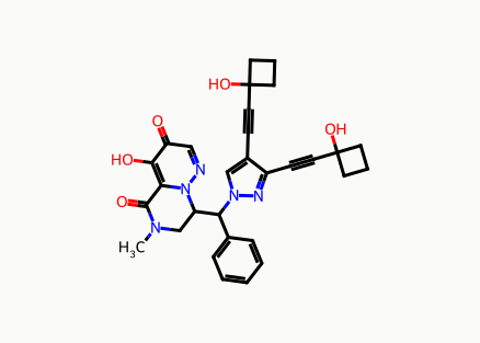 CN1CC(C(c2ccccc2)n2cc(C#CC3(O)CCC3)c(C#CC3(O)CCC3)n2)n2ncc(=O)c(O)c2C1=O